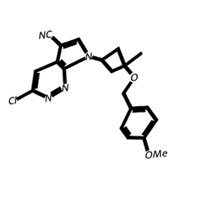 COc1ccc(COC2(C)CC(n3cc(C#N)c4cc(Cl)nnc43)C2)cc1